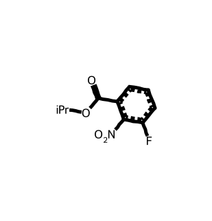 CC(C)OC(=O)c1cccc(F)c1[N+](=O)[O-]